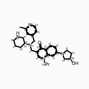 Cc1cc(CN(Cc2cn(C(C)C)c3cc(N4CC[C@@H](O)C4)ccc3c2=O)[C@H]2CCCNC2)ccn1